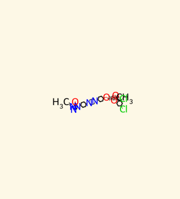 CCCn1ncn(-c2ccc(N3CCN(c4ccc(OC[C@H]5CO[C@](C)(c6ccc(Cl)cc6Cl)O5)cc4)CC3)cc2)c1=O